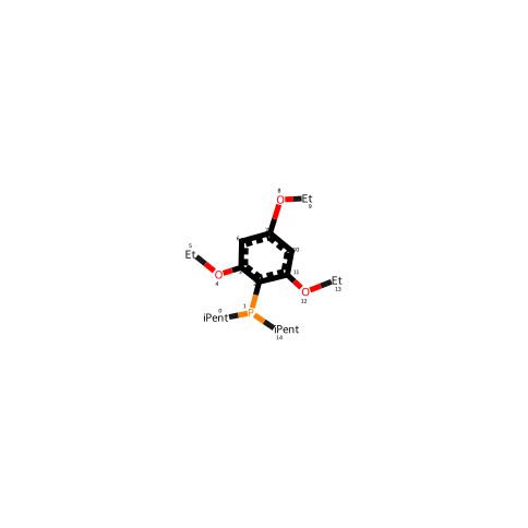 CCCC(C)P(c1c(OCC)cc(OCC)cc1OCC)C(C)CCC